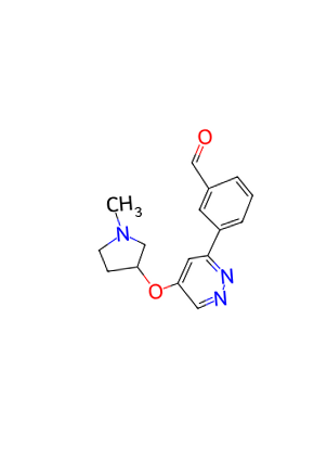 CN1CCC(Oc2cnnc(-c3cccc(C=O)c3)c2)C1